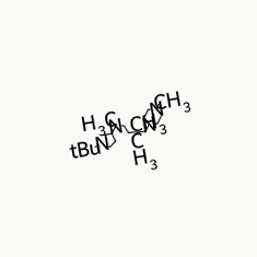 CN1CCN(CC(C)(C)CCN(C)C2CCN(C(C)(C)C)C2)CC1